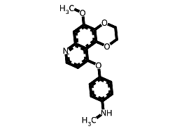 CNc1ccc(Oc2ccnc3cc(OC)c4c(c23)OCCO4)cc1